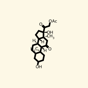 CC(=O)OCC(=O)[C@@]1(O)CC[C@H]2[C@@H]3CCC4CC(O)CC[C@]4(C)[C@H]3C(=O)C[C@@]21C